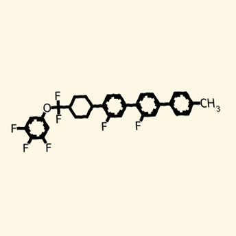 Cc1ccc(-c2ccc(-c3ccc(C4CCC(C(F)(F)Oc5cc(F)c(F)c(F)c5)CC4)c(F)c3)c(F)c2)cc1